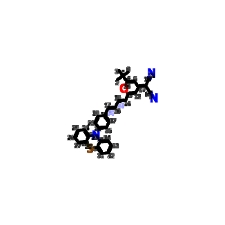 CC(C)(C)C1=CC(=C(C#N)C#N)C=C(/C=C/C=C/c2ccc(N3c4ccccc4Sc4ccccc43)cc2)O1